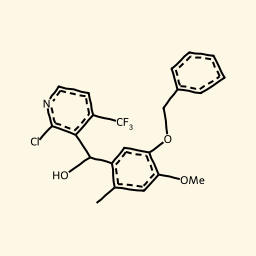 COc1cc(C)c(C(O)c2c(C(F)(F)F)ccnc2Cl)cc1OCc1ccccc1